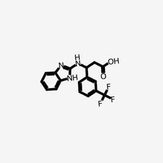 O=C(O)CC(Nc1nc2ccccc2[nH]1)c1cccc(C(F)(F)F)c1